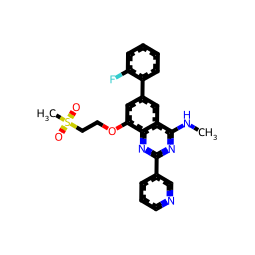 CNc1nc(-c2cccnc2)nc2c(OCCS(C)(=O)=O)cc(-c3ccccc3F)cc12